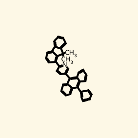 CC1(C)c2ccccc2-c2cccc(-c3ccc(-c4c5ccccc5c(-c5ccccc5)c5ccccc45)cn3)c21